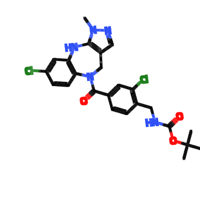 Cn1ncc2c1Nc1cc(Cl)ccc1N(C(=O)c1ccc(CNC(=O)OC(C)(C)C)c(Cl)c1)C2